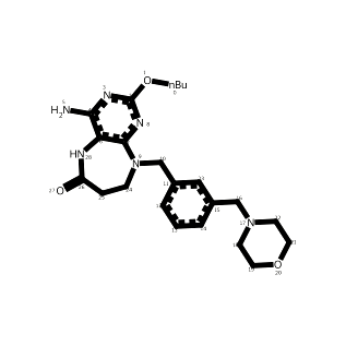 CCCCOc1nc(N)c2c(n1)N(Cc1cccc(CN3CCOCC3)c1)CCC(=O)N2